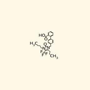 CCCCn1c(C(F)(F)F)c(CCC)n(Cc2ccc(-c3ccccc3C(=O)O)cc2)c1=O